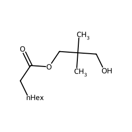 CCCCCCCC(=O)OCC(C)(C)CO